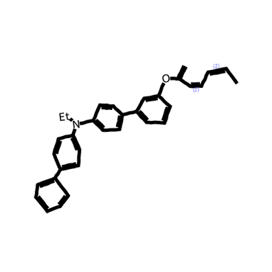 C=C(/C=C\C=C/C)Oc1cccc(-c2ccc(N(CC)c3ccc(-c4ccccc4)cc3)cc2)c1